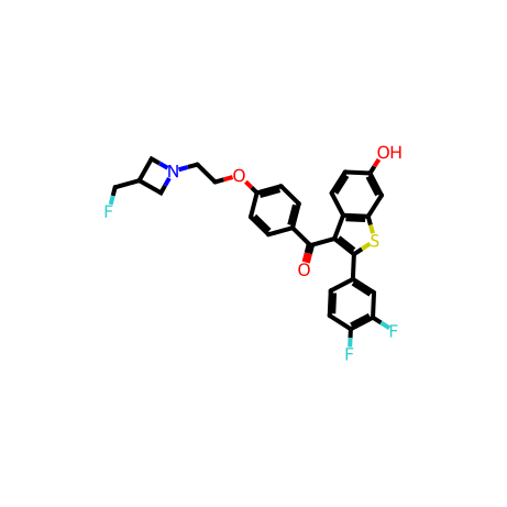 O=C(c1ccc(OCCN2CC(CF)C2)cc1)c1c(-c2ccc(F)c(F)c2)sc2cc(O)ccc12